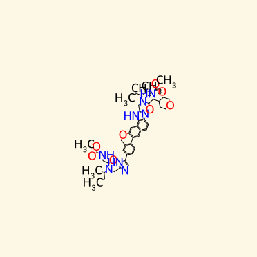 CC[C@H](C(C)C)N(Cc1nc2ccc3cc4c(cc3c2[nH]1)OCc1cc(-c2cnc(CN(C(=O)CNC(=O)OC)[C@@H](C)CC)[nH]2)ccc1-4)C(=O)C(NC(=O)OC)C1CCOCC1